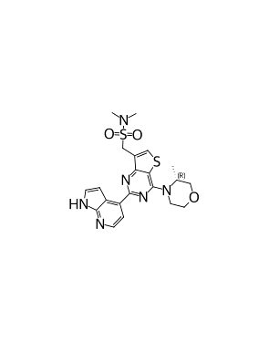 C[C@@H]1COCCN1c1nc(-c2ccnc3[nH]ccc23)nc2c(CS(=O)(=O)N(C)C)csc12